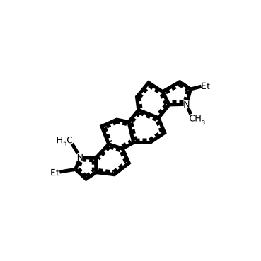 CCc1cc2ccc3c4ccc5c(ccc6cc(CC)n(C)c65)c4ccc3c2n1C